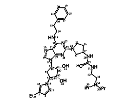 CCc1cnn([C@H]2C[C@@H](n3cnc4c(NCCc5ccccc5)nc(N5CCC(NC(=O)NCCN(C(C)C)C(C)C)C5)nc43)[C@H](O)[C@@H]2O)c1